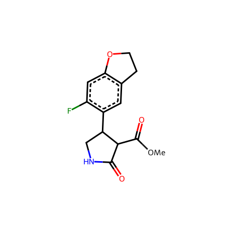 COC(=O)C1C(=O)NCC1c1cc2c(cc1F)OCC2